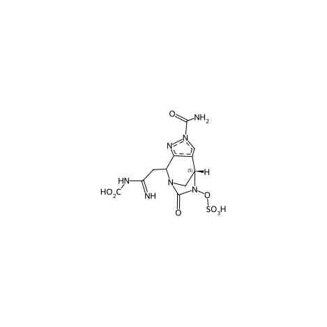 N=C(CC1c2nn(C(N)=O)cc2[C@H]2CN1C(=O)N2OS(=O)(=O)O)NC(=O)O